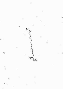 CC(=O)SCCCCCCCCCCC(=O)N=O